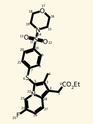 CCOC(=O)Cc1c(C)c(Sc2ccc(S(=O)(=O)N3CCOCC3)cc2)n2cc(F)ccc12